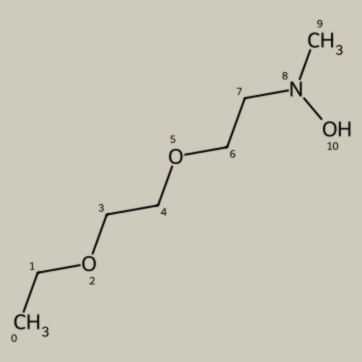 CCOCCOCCN(C)O